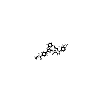 O=C(O)c1cccc(C2SC[C@@H](C(=O)Nc3nc(-c4ccc(C(=O)NC5CC5)cc4)cs3)N2C(=O)OCc2ccccc2)c1